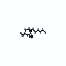 CCCCCCN1CCC(CC)CC1.F